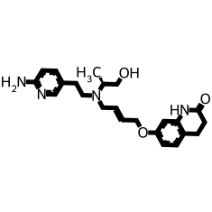 C[C@@H](CO)N(C/C=C/COc1ccc2c(c1)NC(=O)CC2)CCc1ccc(N)nc1